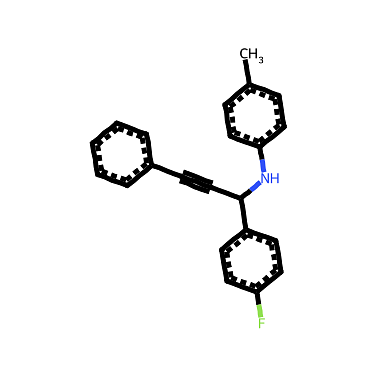 Cc1ccc(NC(C#Cc2ccccc2)c2ccc(F)cc2)cc1